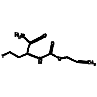 C=CCOC(=O)NC(CCI)C(N)=O